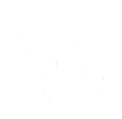 CC(O)CNC(=O)c1cnccc1Nc1cc(-c2cc(Cl)ccc2F)ncc1N1CCN(C)CC1